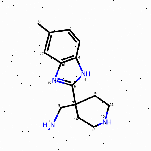 Cc1ccc2[nH]c(C3(CN)CCNCC3)nc2c1